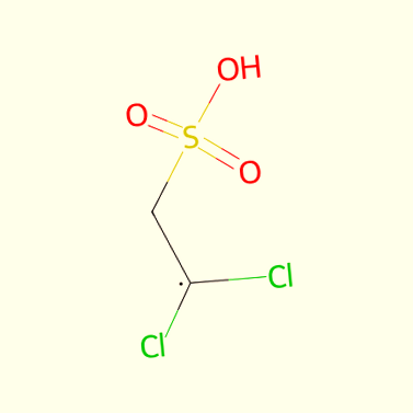 O=S(=O)(O)C[C](Cl)Cl